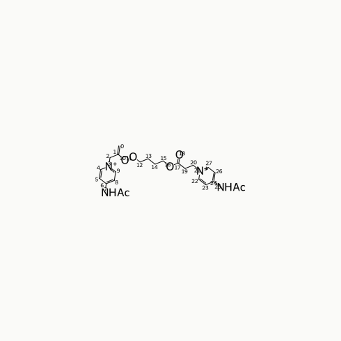 C=C(C[n+]1ccc(NC(C)=O)cc1)OOCCCCOC(=O)CC[n+]1ccc(NC(C)=O)cc1